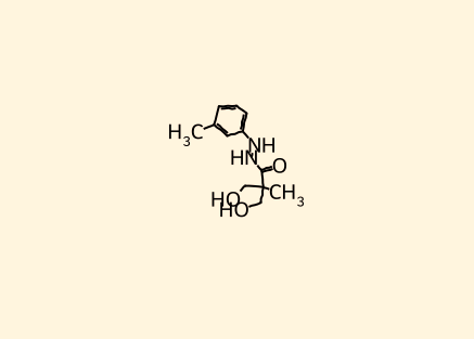 Cc1cccc(NNC(=O)C(C)(CO)CO)c1